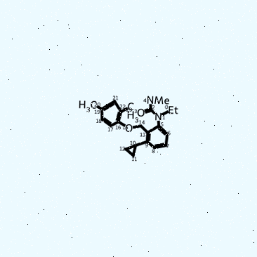 CCN(C(=O)NC)c1cccc(C2CC2)c1COc1ccc(C)cc1C